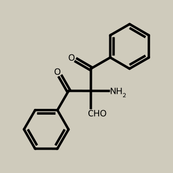 NC(C=O)(C(=O)c1ccccc1)C(=O)c1ccccc1